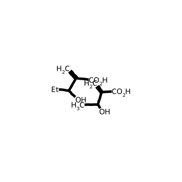 C=C(C(=O)O)C(C)O.C=C(C(=O)O)C(O)CC